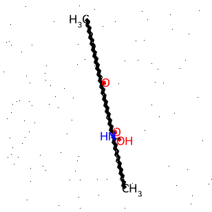 CCCCCCCCC=CCCCCCCCCCCCC(=O)CCCCCCCCCCCCCCCC(=O)N[C@H](CO)CCCCCCCCCCCCCCCC